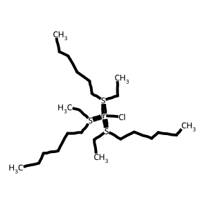 CCCCCC[S](CC)=[Ir]([Cl])(=[S](CC)CCCCCC)=[S](CC)CCCCCC